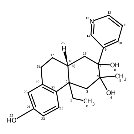 CCC12CC(C)(O)C(O)(c3cccnc3)C[C@H]1CCc1cc(O)ccc12